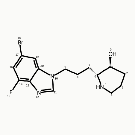 O[C@H]1CCCN[C@@H]1CCCn1cnc2c(F)cc(Br)cc21